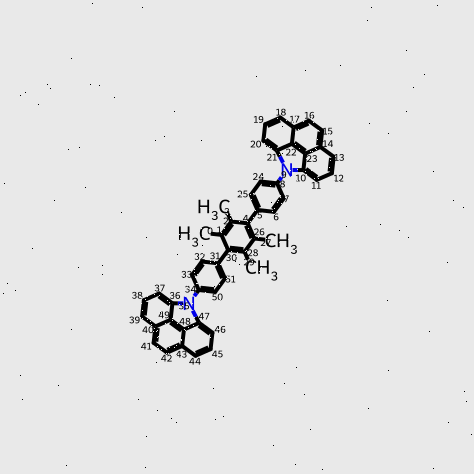 Cc1c(C)c(-c2ccc(-n3c4cccc5ccc6cccc3c6c54)cc2)c(C)c(C)c1-c1ccc(-n2c3cccc4ccc5cccc2c5c43)cc1